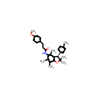 COc1ccc(CCC(=O)Nc2c(C)c(C)c3c(c2C)[C@@H](c2ccc(C)cc2)C(C)(C)O3)cc1